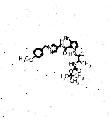 COc1ccc(Cn2cc(NC(=O)c3c(Br)ccn3NC(=O)C(C)NC(=O)OC(C)(C)C)cn2)cc1